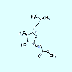 C=C1C(O)[C@H](/C=C/C(=O)OC)O[C@H]1CCC(C)C